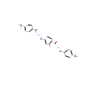 COc1cc(C(=O)NNC(=O)c2ccc(C(C)(C)C)cc2)ccc1C(=O)NNC(=O)c1ccc(C(C)(C)C)cc1